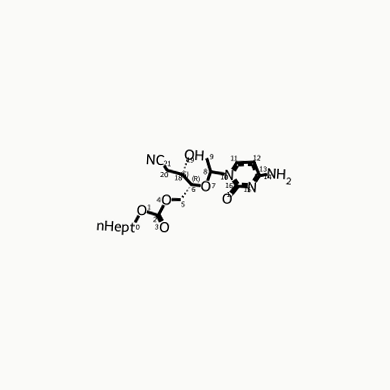 CCCCCCCOC(=O)OC[C@@H](OC(C)n1ccc(N)nc1=O)[C@@H](O)CC#N